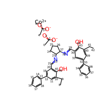 CC(=O)[O-].CC(=O)[O-].CCc1cc(-c2ccccc2)cc(C=NC2CCCC2N=Cc2cc(-c3ccccc3)cc(CC)c2O)c1O.[Co+2]